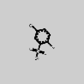 O=S(=O)(O)c1cc(Cl)ccc1[S]